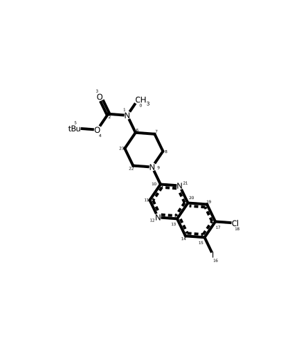 CN(C(=O)OC(C)(C)C)C1CCN(c2cnc3cc(I)c(Cl)cc3n2)CC1